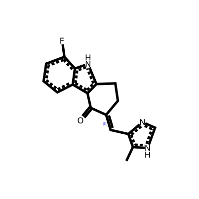 Cc1[nH]cnc1/C=C1\CCc2[nH]c3c(F)cccc3c2C1=O